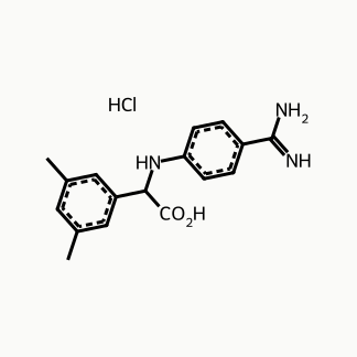 Cc1cc(C)cc(C(Nc2ccc(C(=N)N)cc2)C(=O)O)c1.Cl